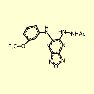 CC(=O)NNc1nc2nonc2nc1Nc1cccc(OC(F)(F)F)c1